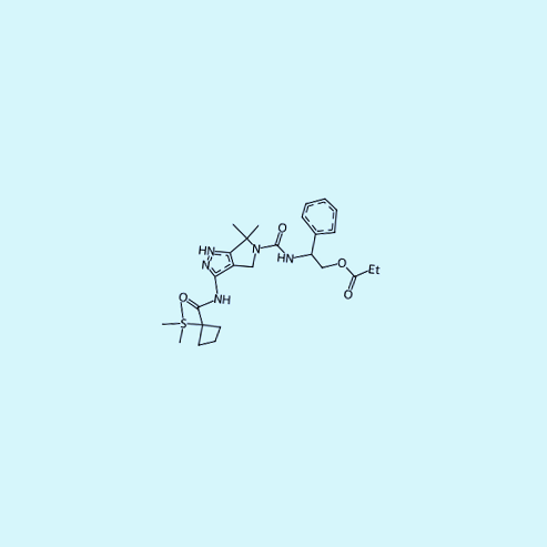 CCC(=O)OCC(NC(=O)N1Cc2c(NC(=O)C3(S(C)(C)C)CCC3)n[nH]c2C1(C)C)c1ccccc1